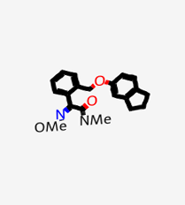 CNC(=O)/C(=N\OC)c1ccccc1COc1ccc2c(c1)CCC2